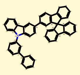 C1=CC2=C(CC1)c1ccc(-c3ccc4c(c3)c3ccccc3n4-c3cccc(-c4ccccc4)c3)cc1C21c2ccccc2-c2ccccc21